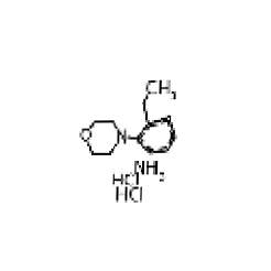 CCc1ccccc1N1CCOCC1.Cl.Cl.N